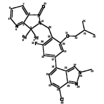 [2H]C1([2H])c2ncccc2C(=O)N1Cc1c(F)cc(-c2ccc(Cl)c3nn(C)cc23)cc1OCC(C)C